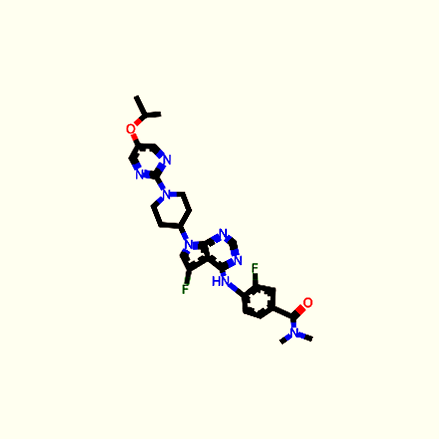 CC(C)Oc1cnc(N2CCC(n3cc(F)c4c(Nc5ccc(C(=O)N(C)C)cc5F)ncnc43)CC2)nc1